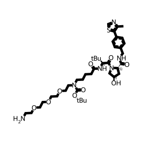 Cc1ncsc1-c1ccc(CNC(=O)[C@@H]2C[C@@H](O)CN2C(=O)[C@@H](NC(=O)CCCCN(CCOCCOCCOCCN)C(=O)OC(C)(C)C)C(C)(C)C)cc1